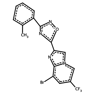 Cc1ccccc1-c1noc(-c2cn3cc(C(F)(F)F)cc(Br)c3n2)n1